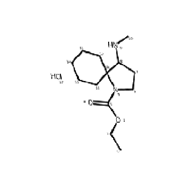 CCOC(=O)N1CCC(NC)C12CCCCC2.Cl